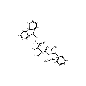 COC(=O)[C@@](CO)(CC(=O)C1CCCN1C(=O)OCC1c2ccccc2-c2ccccc21)Cc1ccccc1